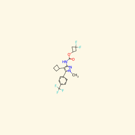 Cn1nc(NC(=O)OC2CC(F)(F)C2)c(C2CCC2)c1-c1ccc(C(F)(F)F)cc1